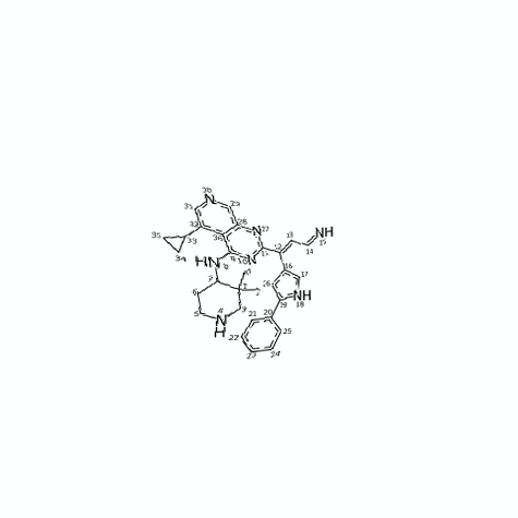 CC1(C)CNCCC1Nc1nc(/C(=C/C=N)c2c[nH]c(-c3ccccc3)c2)nc2cncc(C3CC3)c12